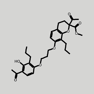 CCCc1c(OCCCOc2ccc3c(c2CCC)OC(C(C)=O)(C(=O)OC)CC3)ccc(C(C)=O)c1O